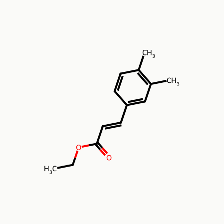 CCOC(=O)C=Cc1ccc(C)c(C)c1